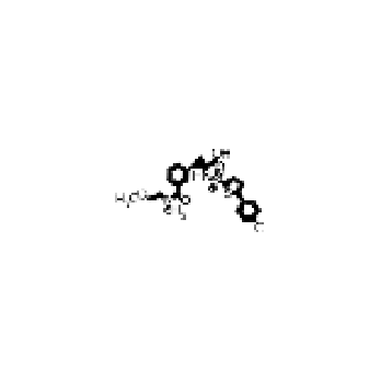 COCCN(C)C(=O)c1cccc(C2CC2(NS(=O)(=O)C2=CCC(c3ccc(Cl)cc3)S2)C(=O)O)c1